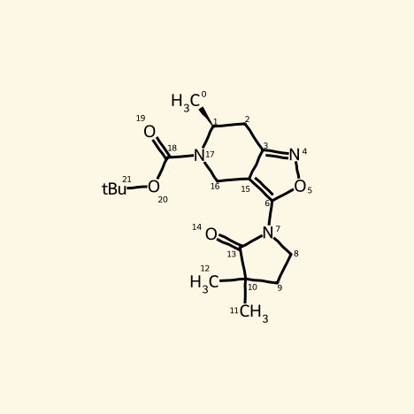 C[C@H]1Cc2noc(N3CCC(C)(C)C3=O)c2CN1C(=O)OC(C)(C)C